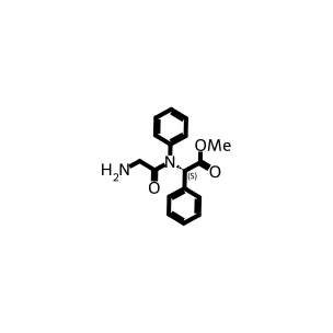 COC(=O)[C@H](c1ccccc1)N(C(=O)CN)c1ccccc1